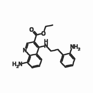 CCOC(=O)c1cnc2c(N)cccc2c1NCCc1ccccc1N